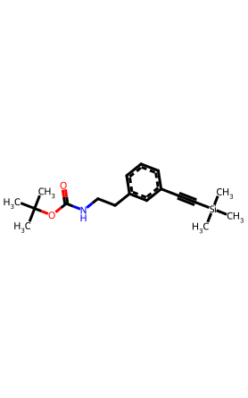 CC(C)(C)OC(=O)NCCc1cccc(C#C[Si](C)(C)C)c1